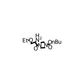 CCCCOC(=O)N1CCN(C(=O)C(N)COCC)CC1